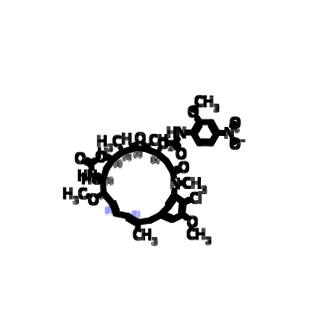 COc1cc([N+](=O)[O-])ccc1NC(=O)O[C@H]1CC(=O)N(C)c2cc(cc(OC)c2Cl)C/C(C)=C/C=C/[C@@H](OC)[C@@]2(O)C[C@H](OC(=O)N2)[C@@H](C)[C@@H]2O[C@@]12C